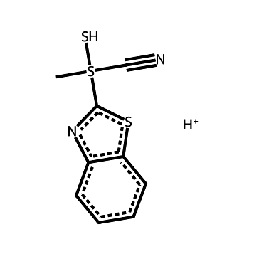 CS(S)(C#N)c1nc2ccccc2s1.[H+]